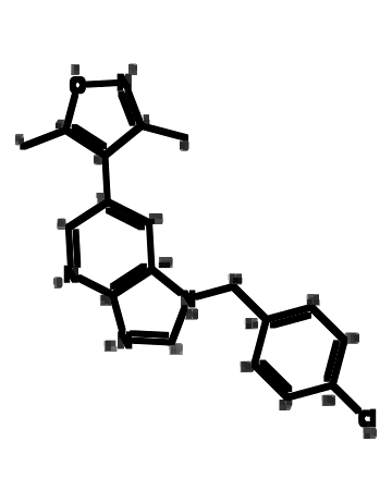 Cc1noc(C)c1-c1cnc2ncn(Cc3ccc(Cl)cc3)c2c1